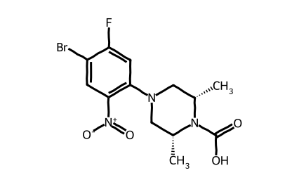 C[C@@H]1CN(c2cc(F)c(Br)cc2[N+](=O)[O-])C[C@H](C)N1C(=O)O